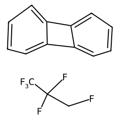 FCC(F)(F)C(F)(F)F.c1ccc2c(c1)-c1ccccc1-2